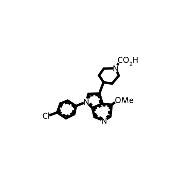 COc1cncc2c1c(C1CCN(C(=O)O)CC1)cn2-c1ccc(Cl)cc1